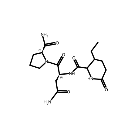 CCC1CCC(=O)NC1C(=O)N[C@@H](CC(N)=O)C(=O)N1CCC[C@H]1C(N)=O